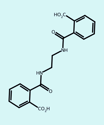 O=C(O)c1ccccc1C(=O)NCCNC(=O)c1ccccc1C(=O)O